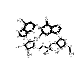 Nc1nc2c(ncn2[C@@H]2S[C@H](CO)[C@H](F)[C@H]2OP(=O)(S)OC[C@H]2O[C@@H](n3cnc4c(N)ccnc43)[C@@H](F)[C@@H]2O)c(=O)[nH]1